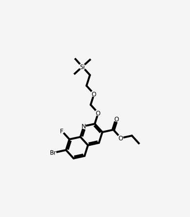 CCOC(=O)c1cc2ccc(Br)c(F)c2nc1OCOCC[Si](C)(C)C